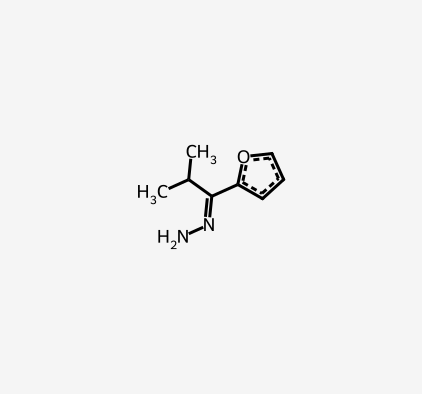 CC(C)C(=NN)c1ccco1